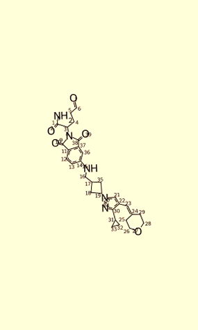 NC(=O)C(CCC=O)N1C(=O)c2ccc(NCC3CC(n4cc(C=C5CCOCC5)c(C5CC5)n4)C3)cc2C1=O